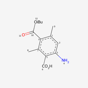 Cc1cc(N)c(C(=O)O)c(C)c1C(=O)OCC(C)C